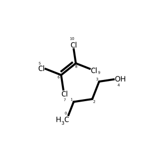 CCCCO.ClC(Cl)=C(Cl)Cl